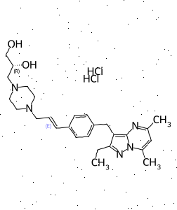 CCc1nn2c(C)cc(C)nc2c1Cc1ccc(/C=C/CN2CCN(C[C@@H](O)CO)CC2)cc1.Cl.Cl